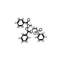 O=C(OC[C@H](CS(=O)(=O)c1ccccc1)OC(=O)c1ccccc1)c1ccccc1